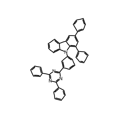 c1ccc(-c2cc(-c3ccccc3)c3c(c2)c2ccccc2n3-c2cccc(-c3nc(-c4ccccc4)nc(-c4ccccc4)n3)c2)cc1